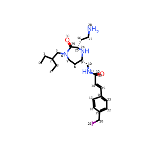 CCC(CC)CN1CC[C@@H](CNC(=O)/C=C/c2ccc(CI)cc2)N[C@@H](CCN)C1=O